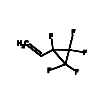 C=CC1(F)C(F)(F)C1(F)F